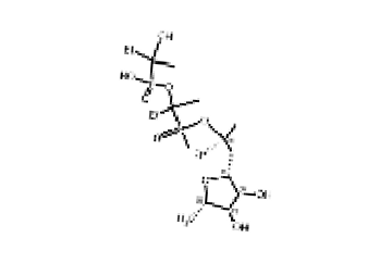 B[C@@H]1O[C@H](C[C@@](C)(CC)OP(C)(=O)C(C)(CC)OP(=O)(O)C(C)(O)CC)[C@@H](O)[C@H]1O